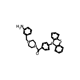 Nc1cccc(CN2CCN(C(=O)c3ccc(N4c5ccccc5Sc5ccccc54)cc3)CC2)c1